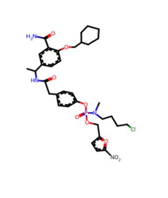 CC(NC(=O)Cc1ccc(OP(=O)(OCc2ccc([N+](=O)[O-])o2)N(C)CCCCCl)cc1)c1ccc(OCC2CCCCC2)c(C(N)=O)c1